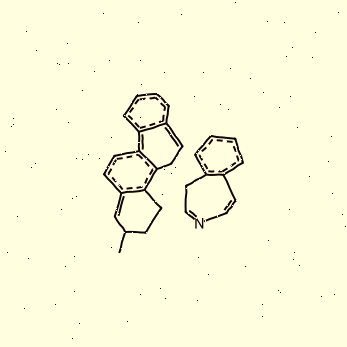 C1=Cc2ccccc2CC=N1.CC1C=c2ccc3c(c2CC1)CC=c1ccccc1=3